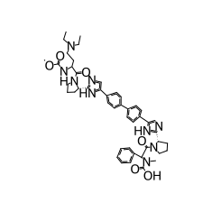 CCN(CC)CCC(NC(=O)OC)C(=O)N1CCC[C@H]1c1ncc(-c2ccc(-c3ccc(-c4cnc([C@@H]5CCCN5C(=O)[C@@H](c5ccccc5)N(C)C(=O)O)[nH]4)cc3)cc2)[nH]1